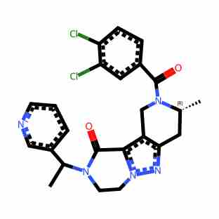 CC(c1cccnc1)N1CCn2nc3c(c2C1=O)CN(C(=O)c1ccc(Cl)c(Cl)c1)[C@H](C)C3